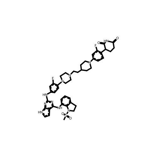 CS(=O)(=O)N1CCc2cccc(Nc3nc(Nc4ccc(N5CCN(CCC6CCN(c7ccc(C8CCC(=O)NC8=O)c(F)c7)CC6)CC5)c(F)c4)nc4[nH]ccc34)c21